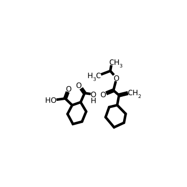 C=C(C(=O)OC(C)C)C1CCCCC1.O=C(O)C1CCCCC1C(=O)O